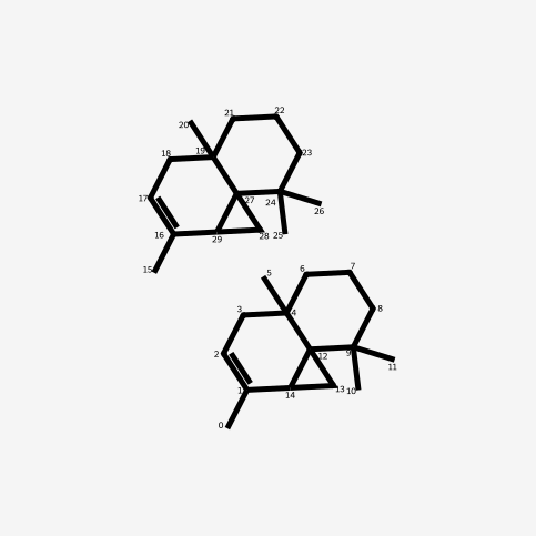 CC1=CCC2(C)CCCC(C)(C)C23CC13.CC1=CCC2(C)CCCC(C)(C)C23CC13